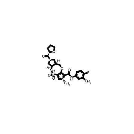 Cc1cc(NC(=O)c2c3c(cn2C)S(=O)(=O)N[C@H]2CN(C(=O)[C@H]4CCCO4)C[C@H]2CO3)ccc1F